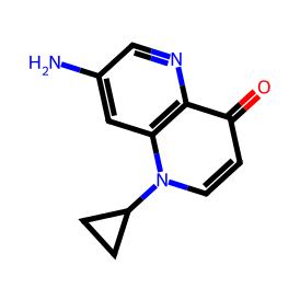 Nc1cnc2c(=O)ccn(C3CC3)c2c1